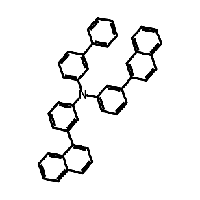 c1ccc(-c2cccc(N(c3cccc(-c4ccc5ccccc5c4)c3)c3cccc(-c4cccc5ccccc45)c3)c2)cc1